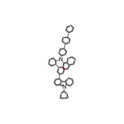 c1ccc(-c2ccc(-c3ccc(N(c4ccccc4-c4cccc(-c5cccc6c5c5ccccc5n6-c5ccccc5)c4)c4cccc5ccccc45)cc3)cc2)cc1